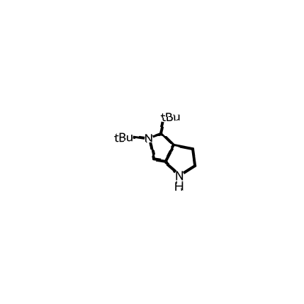 CC(C)(C)C1C2CCNC2CN1C(C)(C)C